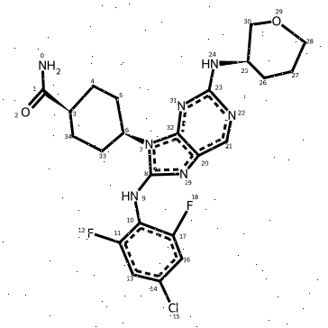 NC(=O)[C@H]1CC[C@@H](n2c(Nc3c(F)cc(Cl)cc3F)nc3cnc(N[C@@H]4CCCOC4)nc32)CC1